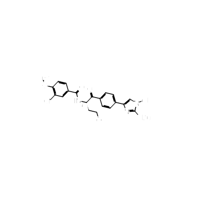 CC(C)Oc1ccc(C(=O)N[C@H](CCO)C(=O)c2ccc(-c3cn(C)c(C(C)(C)C)n3)cc2)cc1Cl